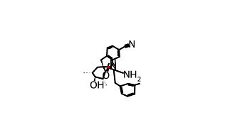 Cc1cccc(CN2C(=O)[C@]3(N=C2N)c2cc(C#N)ccc2C[C@@]32C[C@@H](C)[C@H](O)[C@@H](C)C2)c1